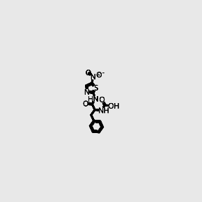 O=C(O)NC(Cc1ccccc1)C(=O)Nc1ncc([N+](=O)[O-])s1